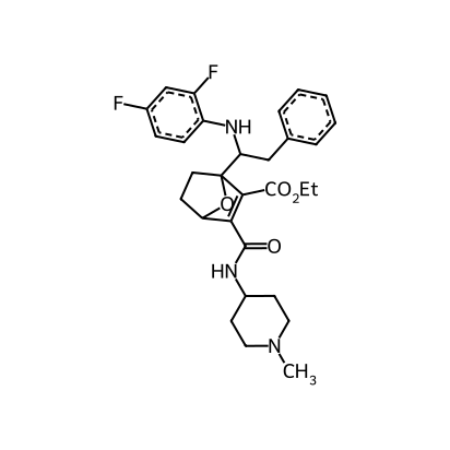 CCOC(=O)C1=C(C(=O)NC2CCN(C)CC2)C2CCC1(C(Cc1ccccc1)Nc1ccc(F)cc1F)O2